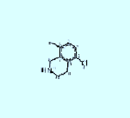 Cc1ccc(Cl)c2c1CNCC2